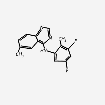 Cc1ccc2ncnc(Nc3cc(F)cc(F)c3C)c2c1